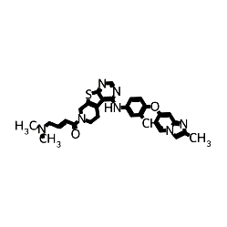 Cc1cn2ccc(Oc3ccc(Nc4ncnc5sc6c(c45)CCN(C(=O)/C=C/CN(C)C)C6)cc3C)cc2n1